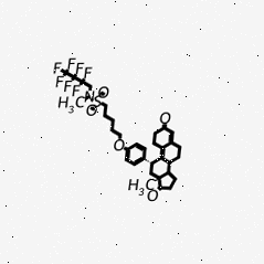 CN(CC(F)(F)C(F)(F)C(F)(F)F)S(=O)(=O)CCCCCOc1ccc([C@H]2C[C@]3(C)C(=O)CCC3C3CCC4=CC(=O)CCC4=C32)cc1